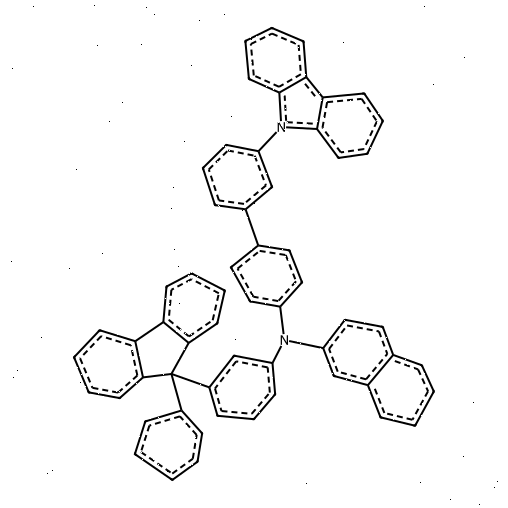 c1ccc(C2(c3cccc(N(c4ccc(-c5cccc(-n6c7ccccc7c7ccccc76)c5)cc4)c4ccc5ccccc5c4)c3)c3ccccc3-c3ccccc32)cc1